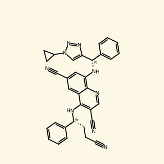 N#CCC[C@@H](Nc1c(C#N)cnc2c(N[C@@H](c3ccccc3)c3cn(C4CC4)nn3)cc(C#N)cc12)c1ccccc1